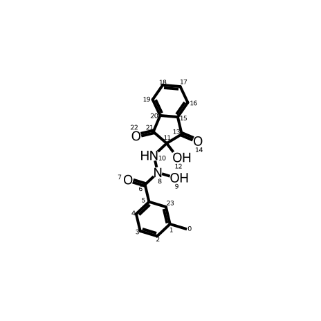 Cc1cccc(C(=O)N(O)NC2(O)C(=O)c3ccccc3C2=O)c1